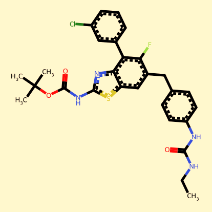 CCNC(=O)Nc1ccc(Cc2cc3sc(NC(=O)OC(C)(C)C)nc3c(-c3cccc(Cl)c3)c2F)cc1